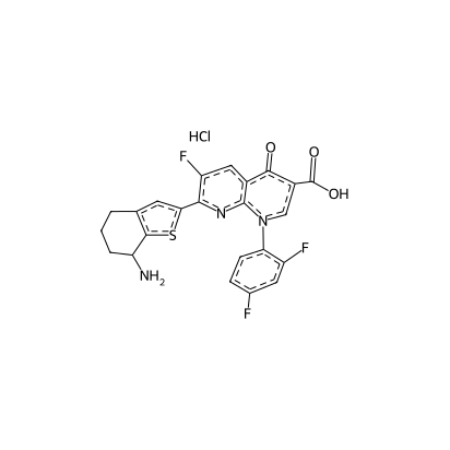 Cl.NC1CCCc2cc(-c3nc4c(cc3F)c(=O)c(C(=O)O)cn4-c3ccc(F)cc3F)sc21